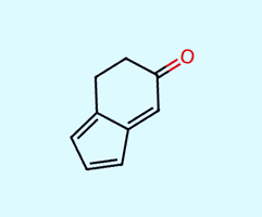 O=C1C=C2C=CC=C2CC1